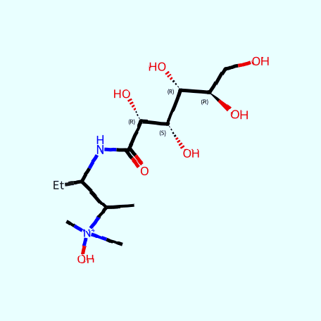 CCC(NC(=O)[C@H](O)[C@@H](O)[C@H](O)[C@H](O)CO)C(C)[N+](C)(C)O